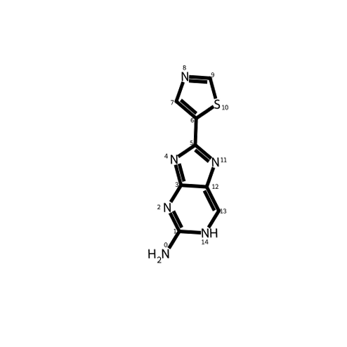 Nc1nc2nc(-c3cncs3)nc-2c[nH]1